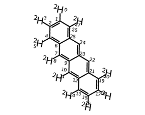 [2H]c1c([2H])c([2H])c2c([2H])c3c([2H])c4c([2H])c([2H])c([2H])c([2H])c4cc3cc2c1[2H]